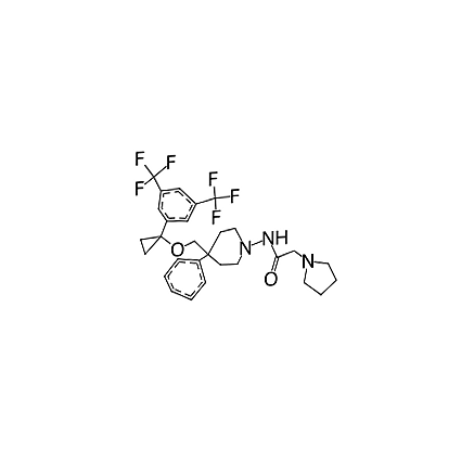 O=C(CN1CCCC1)NN1CCC(COC2(c3cc(C(F)(F)F)cc(C(F)(F)F)c3)CC2)(c2ccccc2)CC1